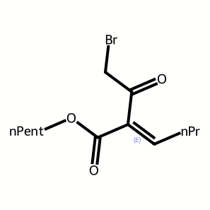 CCC/C=C(\C(=O)CBr)C(=O)OCCCCC